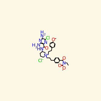 CCN(C(=O)OC)C(=O)c1ccc(CCC[N+]2(CCCc3ccc(OC)cc3)CCCC(NC(=O)c3nc(Cl)c(N)nc3N)C2)cc1.[Cl-]